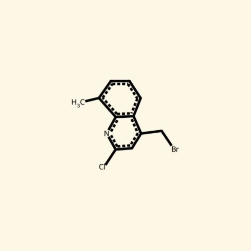 Cc1cccc2c(CBr)cc(Cl)nc12